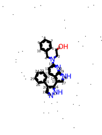 OCCN(Cc1ccccc1)c1ccc2c(-c3[nH]ncc3-c3ccccc3)c[nH]c2n1